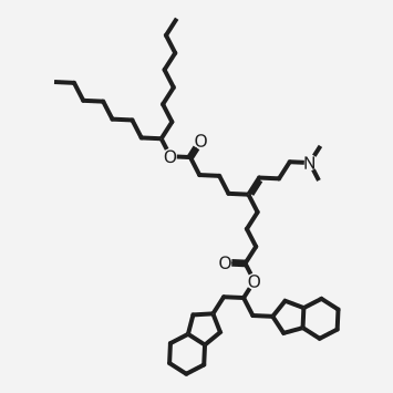 CCCCCCCC(CCCCCCC)OC(=O)CCC/C(=C/CCN(C)C)CCCC(=O)OC(CC1CC2CCCCC2C1)CC1CC2CCCCC2C1